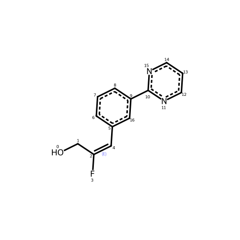 OC/C(F)=C\c1cccc(-c2ncccn2)c1